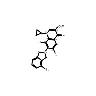 Nc1cccc2c1CN(c1c(F)cc3c(=O)c(C(=O)O)cn(C4CC4)c3c1F)C2